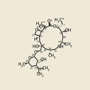 CC[C@H]1OC(=O)C(C)[C@]2(C)OC[C@@H]2C[C@](O)(CO[C@@H]2O[C@H](C)C[C@H](N(C)C)[C@H]2O)C[C@@H](C)CN[C@H](C)C[C@@H]1O